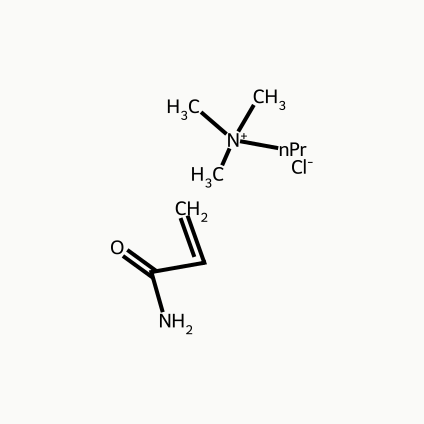 C=CC(N)=O.CCC[N+](C)(C)C.[Cl-]